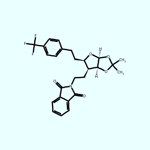 CC1(C)O[C@@H]2O[C@H](CCc3ccc(C(F)(F)F)cc3)[C@H](CCN3C(=O)c4ccccc4C3=O)[C@@H]2O1